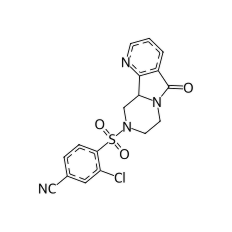 N#Cc1ccc(S(=O)(=O)N2CCN3C(=O)c4cccnc4C3C2)c(Cl)c1